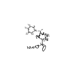 COC(=O)c1nnn(Cc2ccccc2)n1